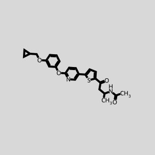 CC(=O)NC(C)CC(=O)c1ccc(-c2ccc(Oc3cccc(OCC4CC4)c3)nc2)s1